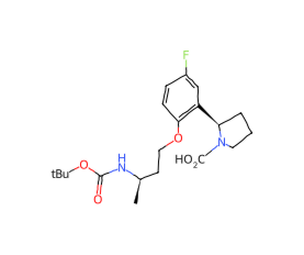 C[C@H](CCOc1ccc(F)cc1[C@H]1CCCN1C(=O)O)NC(=O)OC(C)(C)C